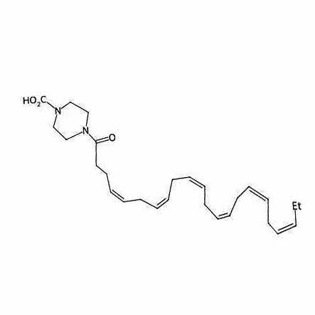 CC/C=C\C/C=C\C/C=C\C/C=C\C/C=C\C/C=C\CCC(=O)N1CCN(C(=O)O)CC1